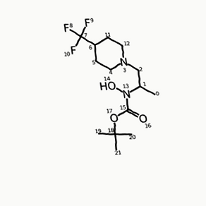 CC(CN1CCC(C(F)(F)F)CC1)N(O)C(=O)OC(C)(C)C